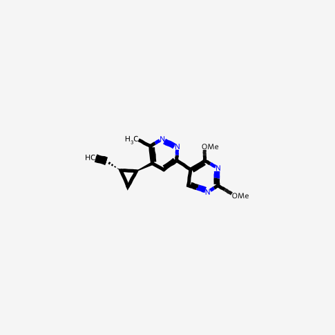 C#C[C@H]1C[C@@H]1c1cc(-c2cnc(OC)nc2OC)nnc1C